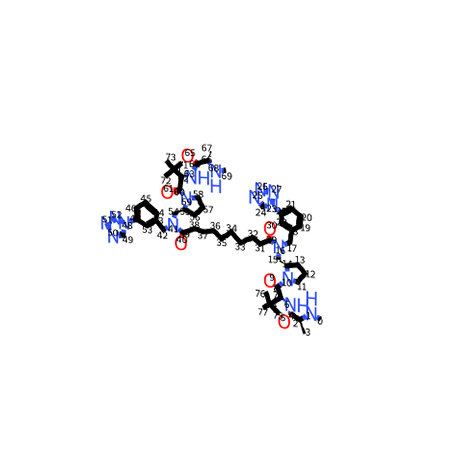 CN[C@@H](C)C(=O)N[C@H](C(=O)N1CCC[C@H]1CN(Cc1cccc(-n2cnnn2)c1)C(=O)CCCCCCCCC(=O)N(Cc1cccc(-n2cnnn2)c1)C[C@@H]1CCCN1C(=O)[C@@H](NC(=O)[C@H](C)NC)C(C)(C)C)C(C)(C)C